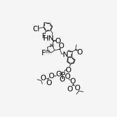 CC(=O)c1cn(CC(=O)C2C[C@H](F)C[C@H]2C(=O)NCc2cccc(Cl)c2F)c2cc(OCP(=O)(OCOC(=O)OC(C)C)OCOC(=O)OC(C)C)ccc12